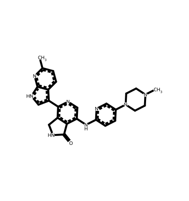 Cc1ccc2c(-c3ncc(Nc4ccc(N5CCN(C)CC5)cn4)c4c3CNC4=O)c[nH]c2n1